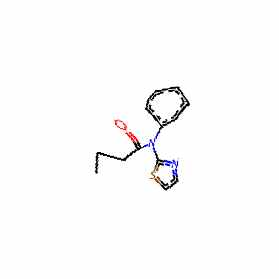 CCCC(=O)N(c1ccccc1)c1nccs1